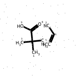 C=CC#N.CC(C)(C)C(=O)O